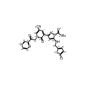 CC(C)(C)C(=O)n1nc(-c2cc(C#N)cn(CC(=O)c3cnccn3)c2=O)cc1NCc1ccc(Cl)s1